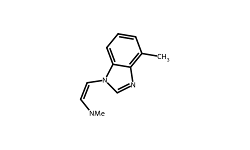 CN/C=C\n1cnc2c(C)cccc21